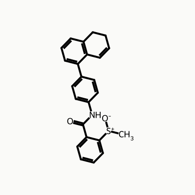 C[S+]([O-])c1ccccc1C(=O)Nc1ccc(-c2cccc3c2C=CCC3)cc1